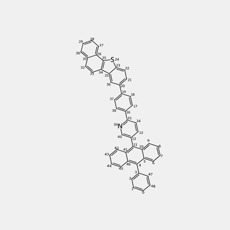 c1ccc(-c2c3ccccc3c(-c3ccc(-c4ccc(-c5ccc6sc7c8ccccc8ccc7c6c5)cc4)nc3)c3ccccc23)cc1